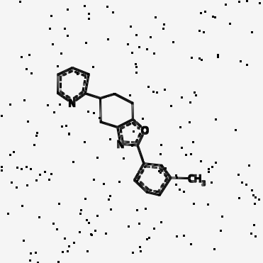 Cc1cccc(-c2nc3c(o2)CCC(c2ccccn2)C3)c1